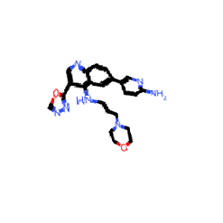 Nc1ccc(-c2ccc3ncc(-c4nnco4)c(NCCCN4CCOCC4)c3c2)cn1